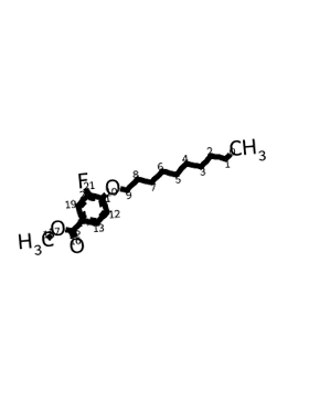 CCCCCCCCCCOc1ccc(C(=O)OC)cc1F